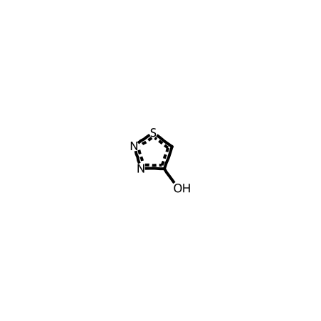 Oc1csnn1